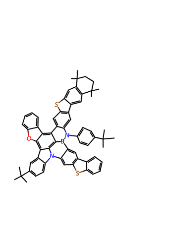 CC(C)(C)c1ccc(N2B3c4cc5c(cc4-n4c6ccc(C(C)(C)C)cc6c6c7oc8ccccc8c7c(c3c64)-c3cc4sc6cc7c(cc6c4cc32)C(C)(C)CCC7(C)C)sc2ccccc25)cc1